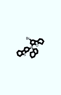 Brc1cc(N(c2ccc3c(c2)sc2ccccc23)c2cccc3ccccc23)c2oc3ccccc3c2c1